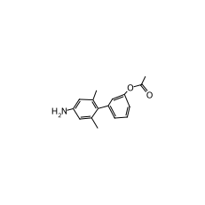 CC(=O)Oc1cccc(-c2c(C)cc(N)cc2C)c1